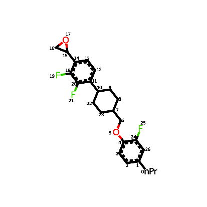 CCCc1ccc(OCC2CCC(c3ccc(C4CO4)c(F)c3F)CC2)c(F)c1